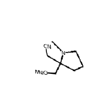 COCC1(CC#N)CCCN1C